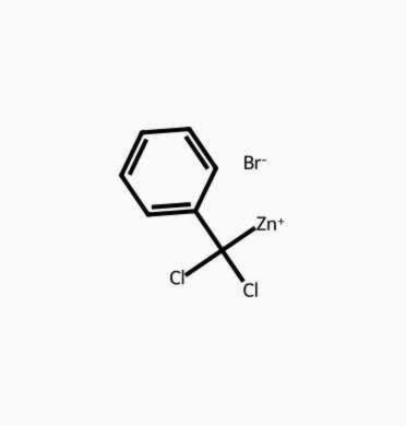 Cl[C](Cl)([Zn+])c1ccccc1.[Br-]